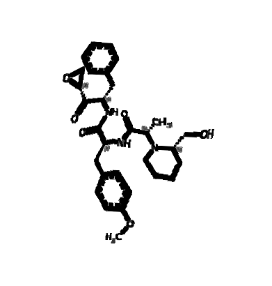 COc1ccc(C[C@H](NC(=O)[C@H](C)N2CCCC[C@H]2CO)C(=O)N[C@@H](Cc2ccccc2)C(=O)[C@H]2CO2)cc1